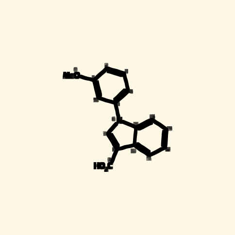 COc1cccc(-n2cc(C(=O)O)c3ccccc32)c1